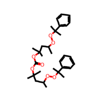 CC(CC(C)(C)OC(=O)OC(C)(C)CC(C)OOC(C)(C)c1ccccc1)OOC(C)(C)c1ccccc1